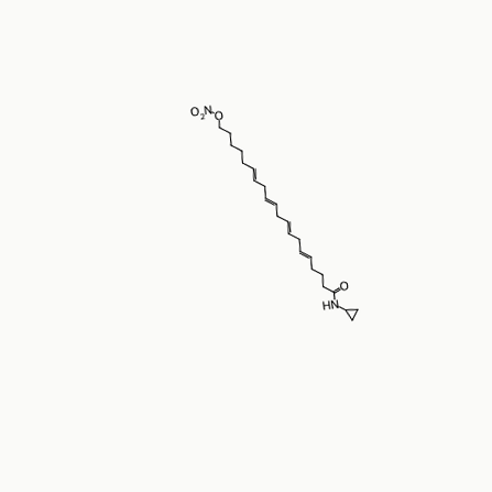 O=C(CCCC=CCC=CCC=CCC=CCCCCCO[N+](=O)[O-])NC1CC1